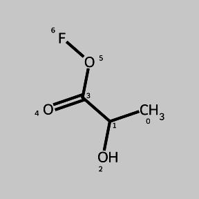 CC(O)C(=O)OF